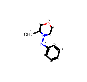 O=CC1COCCN1Nc1ccccc1